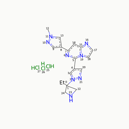 CCC1(n2cc(-c3nc(-c4cnn(C)c4)cc4nccn34)cn2)CNC1.Cl.Cl.Cl